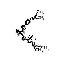 CCCCC(CC)COC1=CC=C(c2ccc(-c3sc(-c4ccc(-c5ccc(OCC(CC)CCCC)cc5)s4)c4c3N=S=N4)s2)C(C)C1